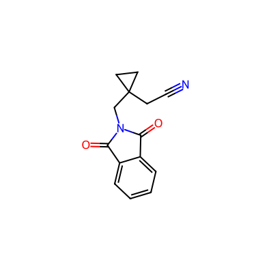 N#CCC1(CN2C(=O)c3ccccc3C2=O)CC1